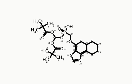 CC(C)(C)C(=O)OC(OC(=O)C(C)(C)C)OP(=O)(O)COC1=c2scnc2=C2CCCCC2C1